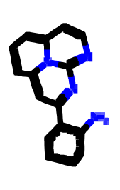 Nc1ccccc1C1=NC2=NC=CC3=CC=CC(=C1)N32